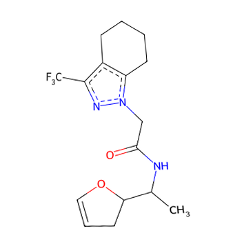 CC(NC(=O)Cn1nc(C(F)(F)F)c2c1CCCC2)C1CC=CO1